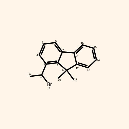 CC(Br)c1cccc2c1C(C)(C)c1ccccc1-2